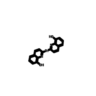 Oc1cccc2cc[c]([Zn][c]3ccc4cccc(O)c4n3)nc12